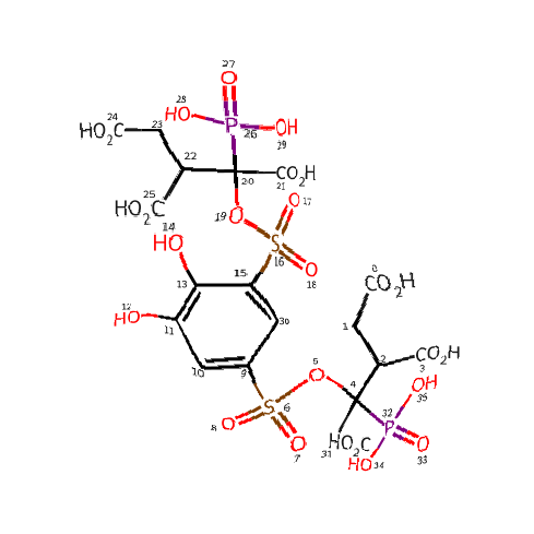 O=C(O)CC(C(=O)O)C(OS(=O)(=O)c1cc(O)c(O)c(S(=O)(=O)OC(C(=O)O)(C(CC(=O)O)C(=O)O)P(=O)(O)O)c1)(C(=O)O)P(=O)(O)O